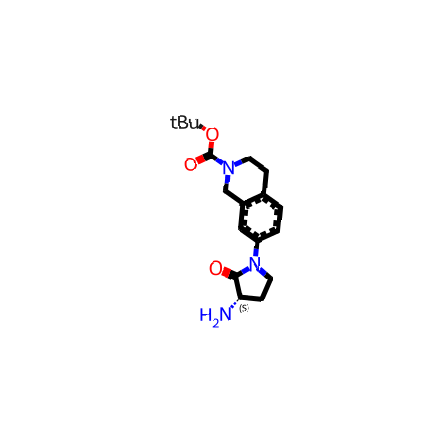 CC(C)(C)OC(=O)N1CCc2ccc(N3CC[C@H](N)C3=O)cc2C1